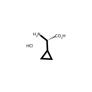 Cl.N[C@H](C(=O)O)C1CC1